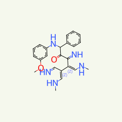 CN/C=C(C=N)/C(=C/NC)C(=N)C(=O)C(Nc1cccc(OC)c1)c1ccccc1